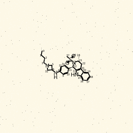 CCCCN1CC(Nc2ccc([C@@H]3c4[nH]c5ccccc5c4C[C@@H](C)N3S(C)(=O)=O)cc2)C1